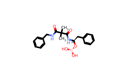 CC(C)(C(=O)NCc1ccccc1)C(=O)N[C@@H](Cc1ccccc1)OB(O)O